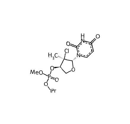 COP(=O)(OC(C)C)O[C@@H]1CO[C@@H](n2ccc(=O)[nH]c2=O)[C@]1(C)Cl